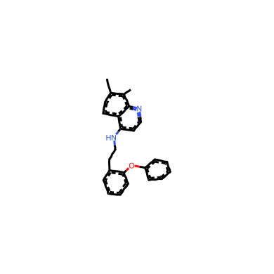 Cc1ccc2c(NCCc3ccccc3Oc3ccccc3)ccnc2c1C